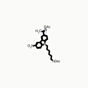 CCCCCCCCCCCCCCCCn1c2ccc(/C(C)=N/OC(C)=O)cc2c2cc([N+](=O)[O-])ccc21